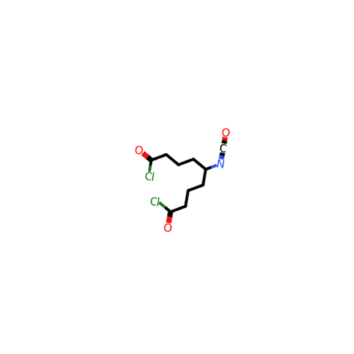 O=C=NC(CCCC(=O)Cl)CCCC(=O)Cl